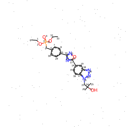 CCOP(=O)(Cc1ccc(-c2noc(-c3ccc4c(c3)nnn4CC(C)(C)O)n2)cc1)OCC